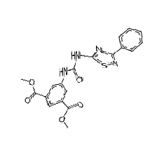 COC(=O)c1cc(NC(=O)Nc2nc(-c3ccccc3)ns2)cc(C(=O)OC)c1